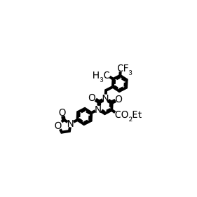 CCOC(=O)c1cn(-c2ccc(N3CCOC3=O)cc2)c(=O)n(Cc2cccc(C(F)(F)F)c2C)c1=O